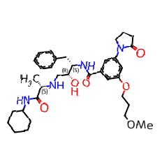 COCCCOc1cc(C(=O)N[C@@H](Cc2ccccc2)[C@H](O)CN[C@@H](C)C(=O)NC2CCCCC2)cc(N2CCCC2=O)c1